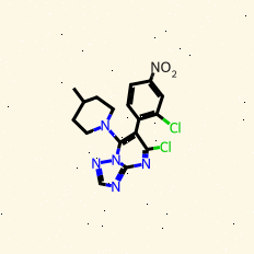 CC1CCN(c2c(-c3ccc([N+](=O)[O-])cc3Cl)c(Cl)nc3ncnn23)CC1